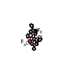 CC(C)c1c(-c2ccc(C(F)(F)F)cc2)c(C2Cc3c(ccc4c3c3ccccc3n4-c3ccccc3)-c3ccccc3C2C)c(-c2ccc(C(F)(F)F)cc2)c(C(C)C)c1-n1c2ccccc2c2ccc3c(c4ccccc4n3-c3ccccc3)c21